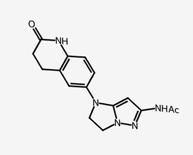 CC(=O)Nc1cc2n(n1)CCN2c1ccc2c(c1)CCC(=O)N2